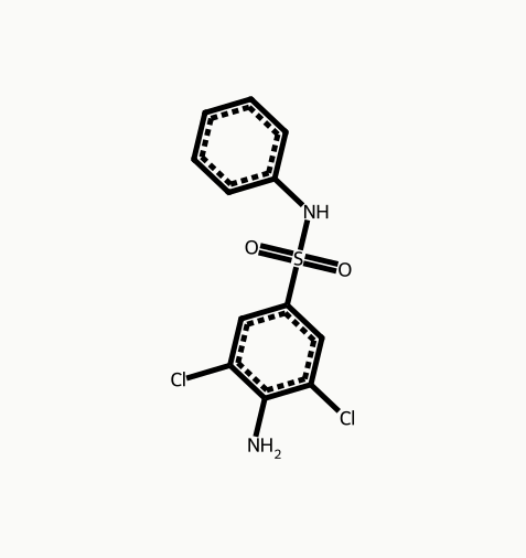 Nc1c(Cl)cc(S(=O)(=O)Nc2ccccc2)cc1Cl